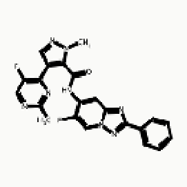 Cc1ncc(F)c(-c2cnn(C)c2C(=O)Nc2cc3nc(-c4ccccc4)nn3cc2F)n1